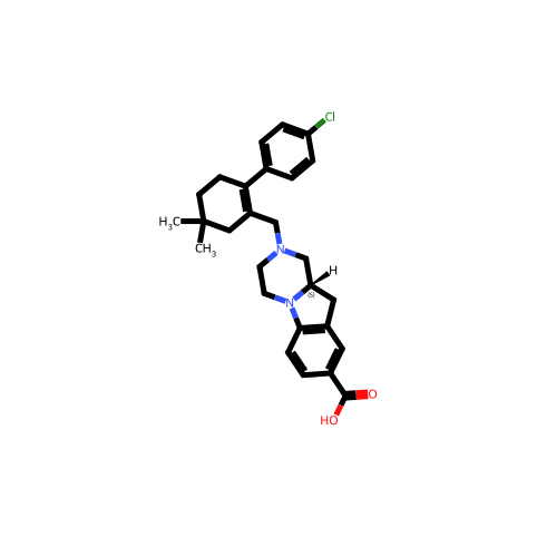 CC1(C)CCC(c2ccc(Cl)cc2)=C(CN2CCN3c4ccc(C(=O)O)cc4C[C@H]3C2)C1